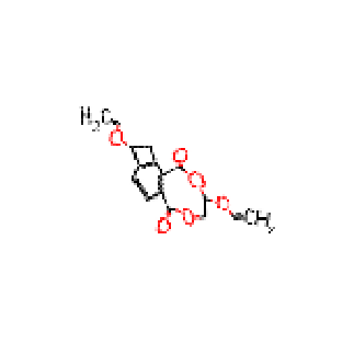 C=COC1COC(=O)c2ccc3c(c2C(=O)O1)CC3OC=C